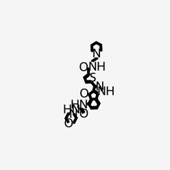 O=C(Nc1cccc2c1C(=O)c1c(-c3ccc(C(=O)NCCN4CCCCC4)s3)n[nH]c1-2)NN1CCOCC1